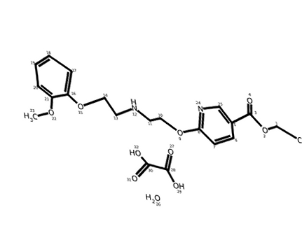 CCOC(=O)c1ccc(OCCNCCOc2ccccc2OC)nc1.O.O=C(O)C(=O)O